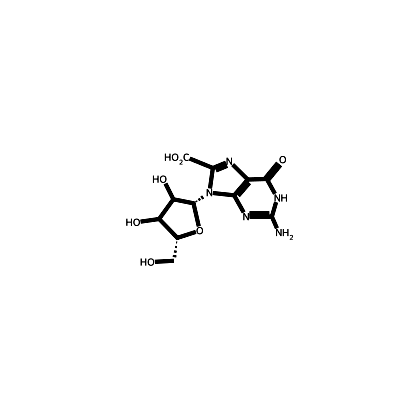 Nc1nc2c(nc(C(=O)O)n2[C@@H]2O[C@H](CO)C(O)C2O)c(=O)[nH]1